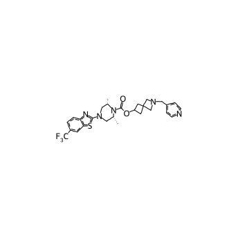 C[C@@H]1CN(c2nc3ccc(C(F)(F)F)cc3s2)C[C@H](C)N1C(=O)OC1CC2(C1)CN(Cc1ccncc1)C2